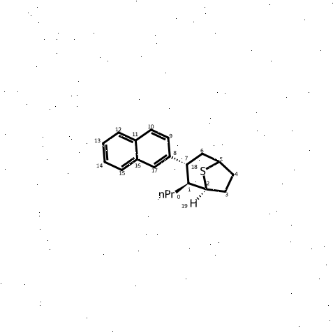 CCC[C@@H]1[C@@H]2CCC(C[C@H]1c1ccc3ccccc3c1)S2